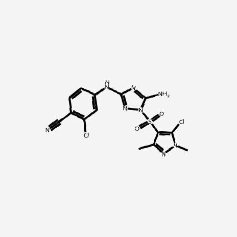 Cc1nn(C)c(Cl)c1S(=O)(=O)n1nc(Nc2ccc(C#N)c(Cl)c2)nc1N